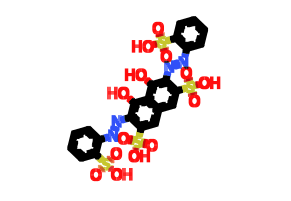 O=S(=O)(O)c1ccccc1/N=N/c1c(S(=O)(=O)O)cc2cc(S(=O)(=O)O)c(/N=N/c3ccccc3S(=O)(=O)O)c(O)c2c1O